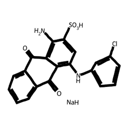 Nc1c(S(=O)(=O)O)cc(Nc2cccc(Cl)c2)c2c1C(=O)c1ccccc1C2=O.[NaH]